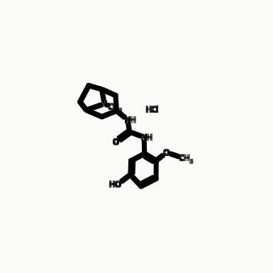 COc1ccc(O)cc1NC(=O)NC1CC2CCC(C1)N2C.Cl